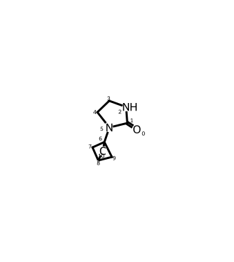 O=C1NCCN1C12CC(C1)C2